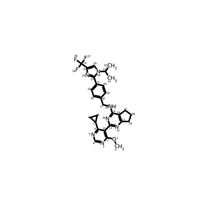 COc1ncnc(C2CC2)c1-c1nc2c(c(NCc3ccc(-c4nc(C(F)(F)F)cn4C(C)C)cc3)n1)CCC2